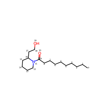 CCCCCCCCCC(=O)N1CCCCC1CCO